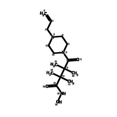 C=CCN1CCN(C(=O)C(C)(C)C(C)(C)C(=O)NO)CC1